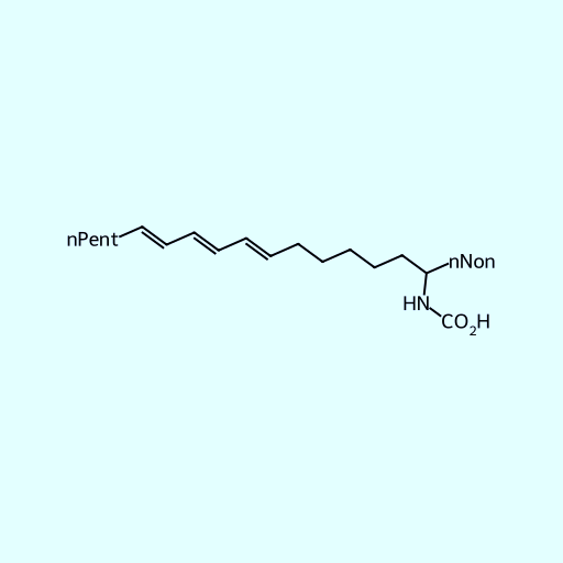 CCCCC/C=C/C=C/C=C/CCCCCC(CCCCCCCCC)NC(=O)O